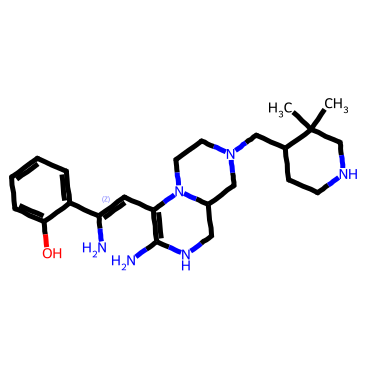 CC1(C)CNCCC1CN1CCN2C(/C=C(\N)c3ccccc3O)=C(N)NCC2C1